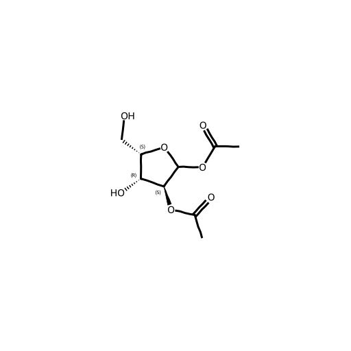 CC(=O)OC1O[C@@H](CO)[C@@H](O)[C@@H]1OC(C)=O